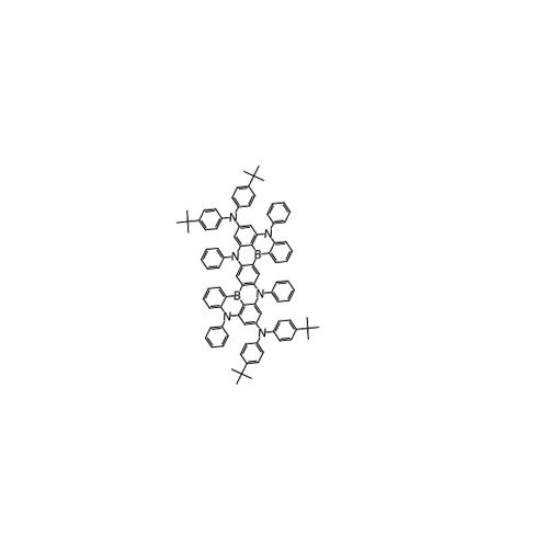 CC(C)(C)c1ccc(N(c2ccc(C(C)(C)C)cc2)c2cc3c4c(c2)N(c2ccccc2)c2cc5c(cc2B4c2ccccc2N3c2ccccc2)N(c2ccccc2)c2cc(N(c3ccc(C(C)(C)C)cc3)c3ccc(C(C)(C)C)cc3)cc3c2B5c2ccccc2N3c2ccccc2)cc1